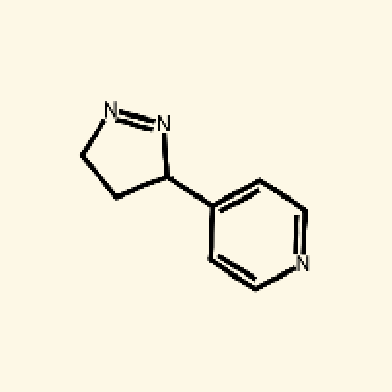 c1cc([C]2CCN=N2)ccn1